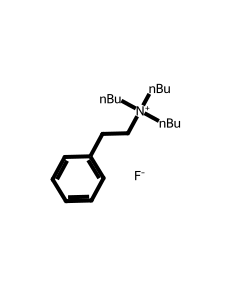 CCCC[N+](CCCC)(CCCC)CCc1ccccc1.[F-]